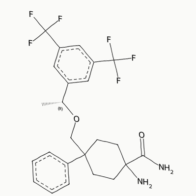 C[C@@H](OCC1(c2ccccc2)CCC(N)(C(N)=O)CC1)c1cc(C(F)(F)F)cc(C(F)(F)F)c1